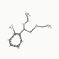 CCOCC(OCC)c1ccccc1C